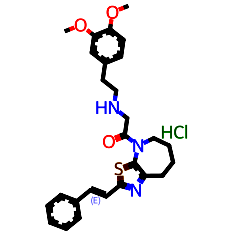 COc1ccc(CCNCC(=O)N2CCCCc3nc(/C=C/c4ccccc4)sc32)cc1OC.Cl